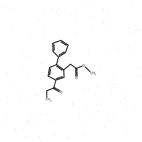 CCC(=O)c1ccc(-c2ccccc2)c(CC(=O)OC)c1